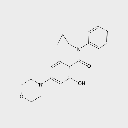 O=C(c1ccc(N2CCOCC2)cc1O)N(c1ccccc1)C1CC1